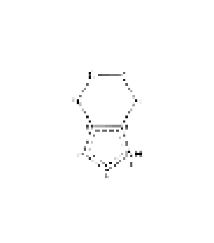 [CH]1OCCc2[nH]ccc21